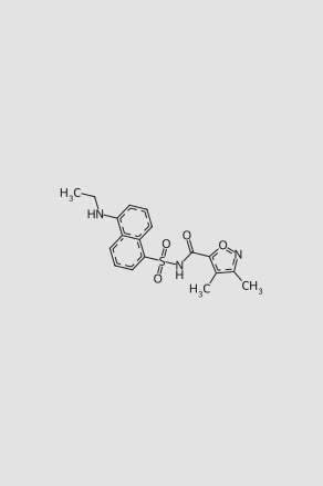 CCNc1cccc2c(S(=O)(=O)NC(=O)c3onc(C)c3C)cccc12